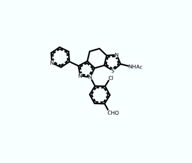 CC(=O)Nc1nc2c(s1)-c1c(c(-c3cccnc3)nn1-c1ccc(C=O)cc1Cl)CC2